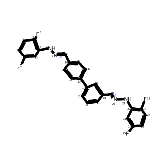 Fc1ccc(F)c(N/N=C/c2ccc(-c3cccc(/C=N/Nc4cc(F)ccc4F)c3)cc2)c1